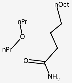 CCCCCCCCCCCC(N)=O.CCCOCCC